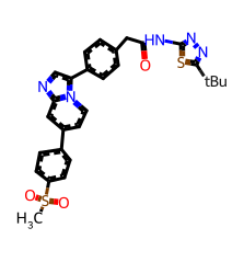 CC(C)(C)c1nnc(NC(=O)Cc2ccc(-c3cnc4cc(-c5ccc(S(C)(=O)=O)cc5)ccn34)cc2)s1